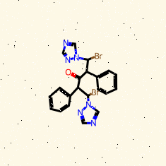 O=C(C(c1ccccc1)C(Br)n1cncn1)C(c1ccccc1)C(Br)n1cncn1